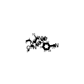 CCn1c(OC)nnc1[C@@H](C)NS(=O)(=O)c1cccc(C#N)c1